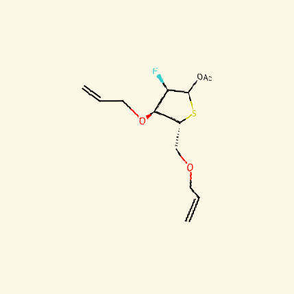 C=CCOC[C@H]1SC(OC(C)=O)[C@H](F)[C@@H]1OCC=C